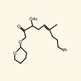 CC(=O)OC(CC=C(C)CCCC(C)C)C(=O)COC1CCCCO1